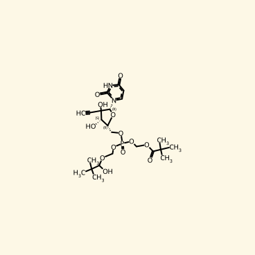 C#CC1(O)[C@@H](O)[C@@H](COP(=O)(OCOC(=O)C(C)(C)C)OCOC(O)C(C)(C)C)O[C@H]1n1ccc(=O)[nH]c1=O